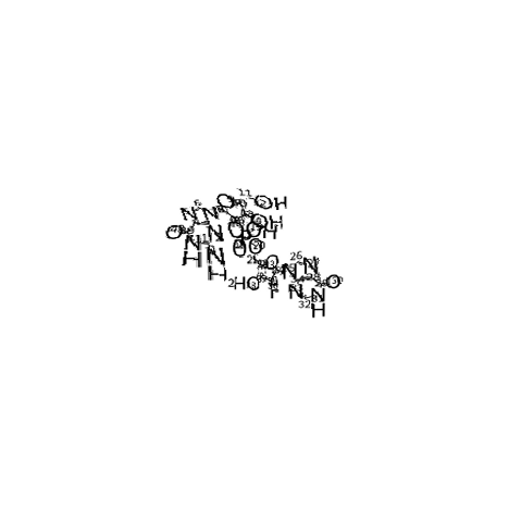 Nc1nc2c(ncn2[C@@H]2O[C@H](CO)[C@@H](O)[C@H]2OP(=O)(O)OC[C@H]2O[C@H](n3cnc4c(=O)[nH]cnc43)[C@@H](F)[C@@H]2O)c(=O)[nH]1